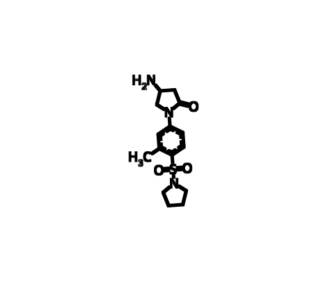 Cc1cc(N2CC(N)CC2=O)ccc1S(=O)(=O)N1CCCC1